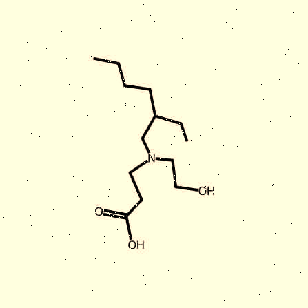 CCCCC(CC)CN(CCO)CCC(=O)O